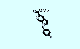 COC(=O)c1cc2ccn(Cc3ccc(F)cc3)c2cn1